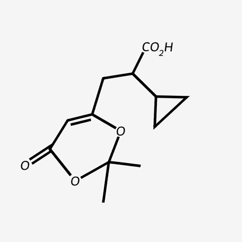 CC1(C)OC(=O)C=C(CC(C(=O)O)C2CC2)O1